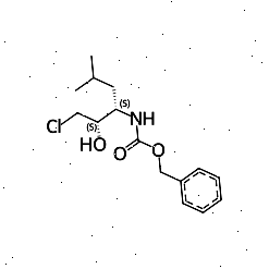 CC(C)C[C@H](NC(=O)OCc1ccccc1)[C@H](O)CCl